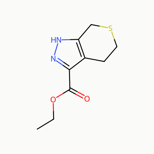 CCOC(=O)c1n[nH]c2c1CCSC2